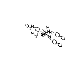 Cc1cc([N+](=O)[O-])ccc1C(=O)N=C(NN=Cc1ccc(Cl)cc1)NN=Cc1ccc(Cl)cc1